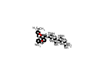 CN(C)c1ccc(CN(c2ccc([N+](=O)[O-])c3nonc23)C(O)C(=O)NC(C(=O)NC(NC(=N)N)C(=O)NC(NC(=N)N)C(=O)NC(NC(=N)N)C(=O)NC(NC(=N)N)C(N)=O)c2ccccc2)c(O)c1